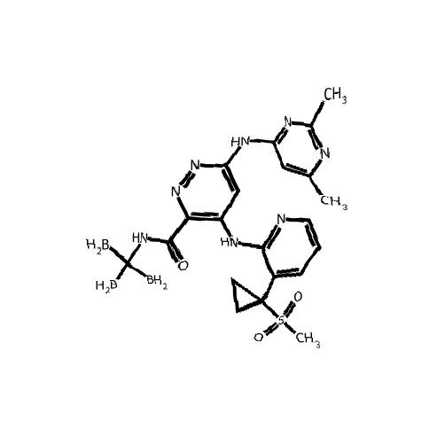 BC(B)(B)NC(=O)c1nnc(Nc2cc(C)nc(C)n2)cc1Nc1ncccc1C1(S(C)(=O)=O)CC1